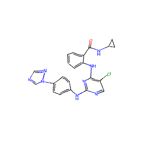 O=C(NC1CC1)c1ccccc1Nc1nc(Nc2ccc(-n3cncn3)cc2)ncc1Cl